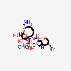 CC(C)C[C@@H]1CCO[C@@H]2[C@@H](C1)CN(C(=O)O)[C@@H]2C(=O)N[C@@H]1CC=CC[C@@H](CN)S[C@H]2O[C@H]1[C@H](O)[C@H](O)[C@H]2O.O=CO